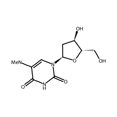 CNc1cn([C@H]2C[C@@H](O)[C@H](CO)O2)c(=O)[nH]c1=O